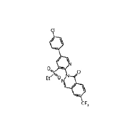 CCS(=O)(=O)c1cc(-c2ccc(Cl)cc2)cnc1-n1ncc2cc(C(F)(F)F)ccc2c1=O